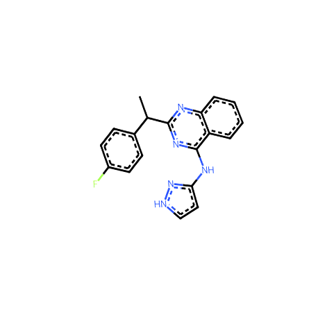 CC(c1ccc(F)cc1)c1nc(Nc2cc[nH]n2)c2ccccc2n1